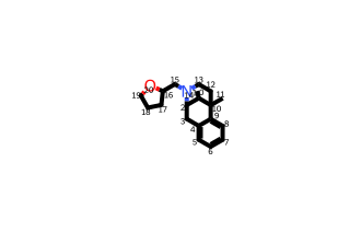 CC1C2Cc3ccccc3C1(C)CCN2CC1CCCO1